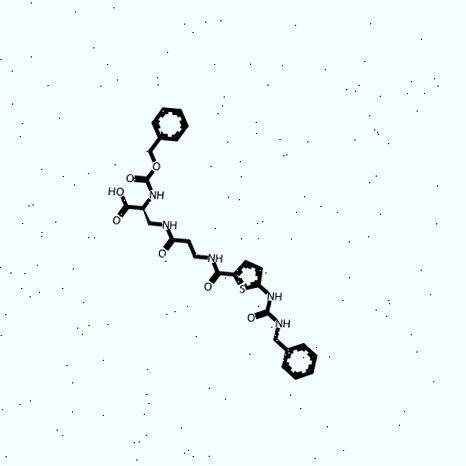 O=C(CCNC(=O)c1ccc(NC(=O)NCc2ccccc2)s1)NC[C@H](NC(=O)OCc1ccccc1)C(=O)O